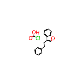 O=C(O)Cl.c1ccc(CCc2coc3ccccc23)cc1